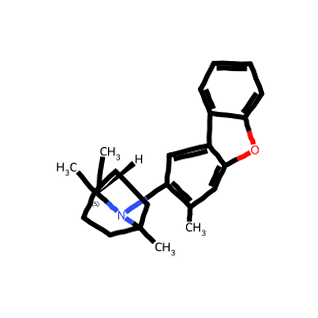 Cc1cc2oc3ccccc3c2cc1N1[C@@H](C)C2(C)CCC1(C)CC2